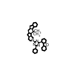 CC1(C)C2=c3ccccc3=CC2=Cc2cc3ccn(-c4nc(-c5ccccc5)nc(-c5cccc6oc7ccccc7c56)n4)cc-3c21